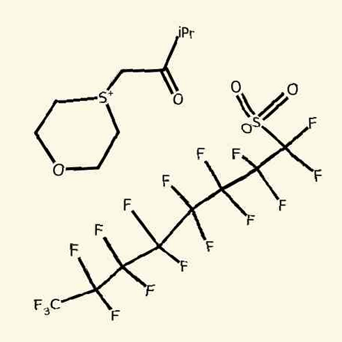 CC(C)C(=O)C[S+]1CCOCC1.O=S(=O)([O-])C(F)(F)C(F)(F)C(F)(F)C(F)(F)C(F)(F)C(F)(F)C(F)(F)C(F)(F)F